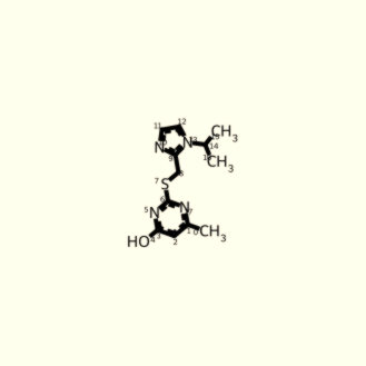 Cc1cc(O)nc(SCc2nccn2C(C)C)n1